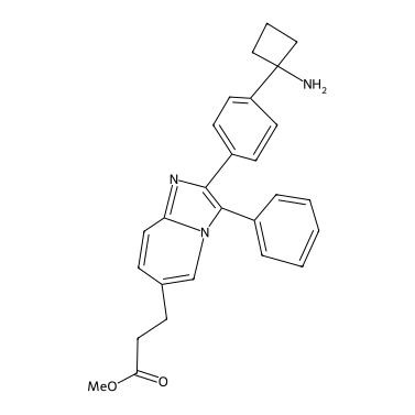 COC(=O)CCc1ccc2nc(-c3ccc(C4(N)CCC4)cc3)c(-c3ccccc3)n2c1